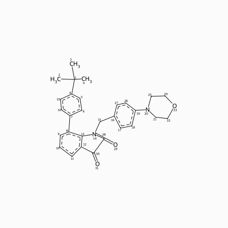 CC(C)(C)c1ccc(-c2cccc3c2N(Cc2ccc(N4CCOCC4)cc2)C(=O)C3=O)cc1